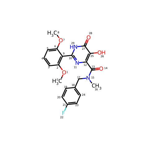 COc1cccc(OC)c1-c1nc(C(=O)N(C)Cc2ccc(F)cc2)c(O)c(=O)[nH]1